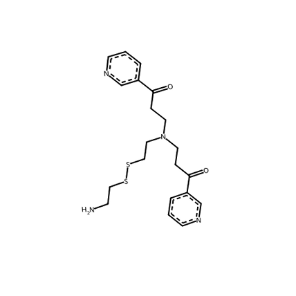 NCCSSCCN(CCC(=O)c1cccnc1)CCC(=O)c1cccnc1